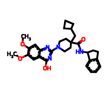 COc1cc2nc(N3CCC(CC4CCC4)(C(=O)NC4CCc5ccccc54)CC3)nc(O)c2cc1OC